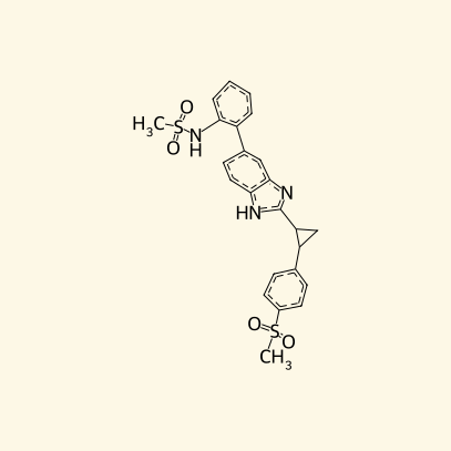 CS(=O)(=O)Nc1ccccc1-c1ccc2[nH]c(C3CC3c3ccc(S(C)(=O)=O)cc3)nc2c1